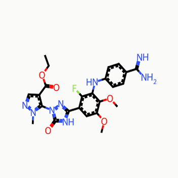 CCOC(=O)c1cnn(C)c1-n1nc(-c2cc(OC)c(OC)c(Nc3ccc(C(=N)N)cc3)c2F)[nH]c1=O